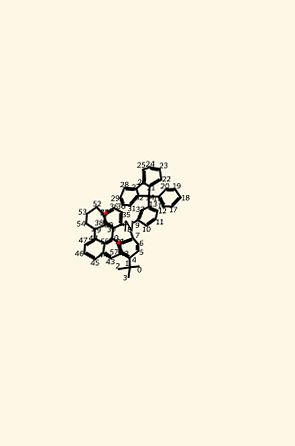 CC(C)(C)c1ccc(N(c2cccc(C3(c4ccccc4)c4ccccc4-c4ccccc43)c2)c2ccccc2-c2cccc3cccc(C4CCCCC4)c23)cc1